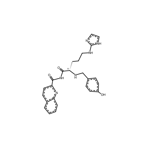 O=C(NC(=O)[C@H](CCCNc1ncc[nH]1)NCc1ccc(O)cc1)c1ccc2ccccc2n1